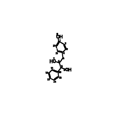 Oc1ccc(CC(O)C(O)c2ccccc2)cc1